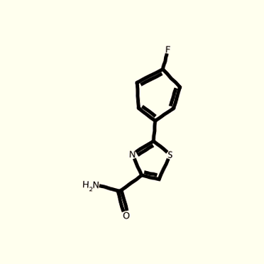 NC(=O)c1csc(-c2ccc(F)cc2)n1